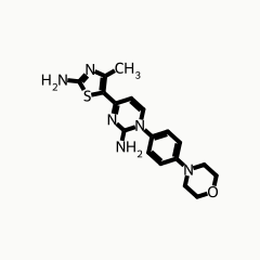 Cc1nc(N)sc1C1=NC(N)N(c2ccc(N3CCOCC3)cc2)C=C1